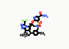 Cc1ccc([C@@H](CC(=O)O)c2ccn3c(C(F)F)nnc3c2C)cc1CN1CC2(CC2)Oc2ncc(C(N)=O)cc2S1(=O)=O